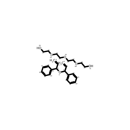 C=CC(OC(C=C)c1ccccc1)c1ccccc1.OCCOCCOCCOCCO